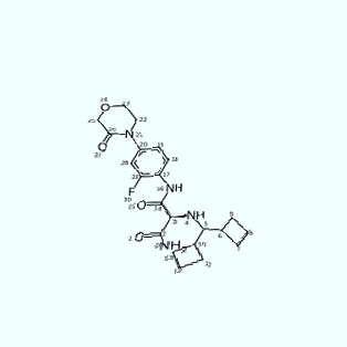 NC(=O)[C@H](NC(C1CCC1)C1CCC1)C(=O)Nc1ccc(N2CCOCC2=O)cc1F